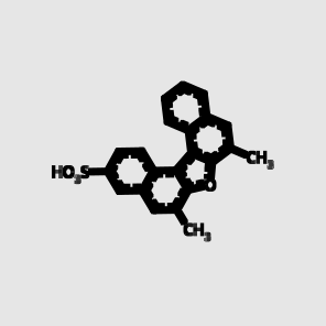 Cc1cc2ccccc2c2c1oc1c(C)cc3cc(S(=O)(=O)O)ccc3c12